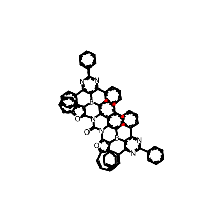 O=C1N2c3oc4c(c3B(c3c(C5=CC=CCC5)nc(-c5ccccc5)nc3-c3ccccc3)c3ccc5ccc6c(c5c32)N1c1oc2ccccc2c1B6c1c(-c2ccccc2)nc(-c2ccccc2)nc1-c1ccccc1)CC#CC=C4